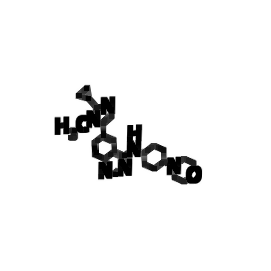 Cn1c(-c2ccc3ncnc(N[C@H]4CC[C@H](N5CCOCC5)CC4)c3c2)cnc1C1CC1